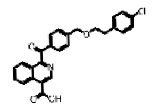 O=C(O)c1cnc(C(=O)c2ccc(COCCc3ccc(Cl)cc3)cc2)c2ccccc12